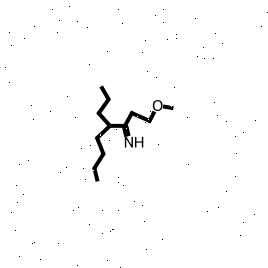 CCCCC(CCC)C(=N)CCOC